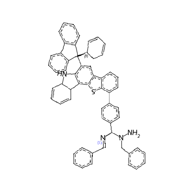 NN(Cc1ccccc1)C(/N=C/c1ccccc1)c1ccc(-c2cccc3c2sc2c4c(c(C5([C@H]6C=CC=CC6)c6ccccc6-c6ccccc65)cc23)NC2C=CC=CC42)cc1